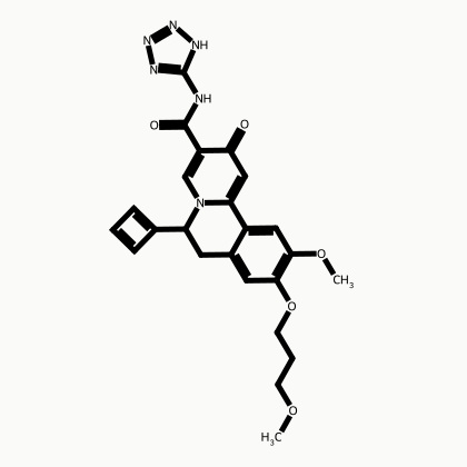 COCCCOc1cc2c(cc1OC)-c1cc(=O)c(C(=O)Nc3nnn[nH]3)cn1C(C1=CC=C1)C2